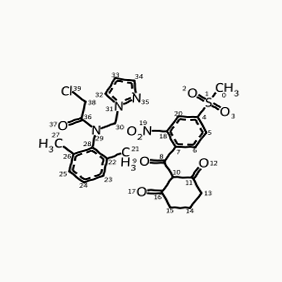 CS(=O)(=O)c1ccc(C(=O)C2C(=O)CCCC2=O)c([N+](=O)[O-])c1.Cc1cccc(C)c1N(Cn1cccn1)C(=O)CCl